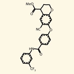 COC(=O)C1CCOc2cc(Oc3ccc(C(=O)Nc4cccc(C(F)(F)F)c4)cc3)c(C#N)cc21